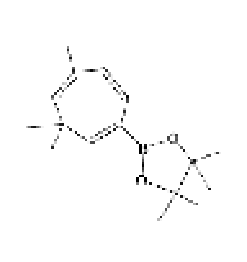 CC1=CC(C)(C)C=C(B2OC(C)(C)C(C)(C)O2)C=C1